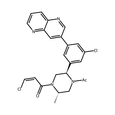 CC(=O)N1C[C@H](C)N(C(=O)/C=C\Cl)C[C@H]1c1cc(Cl)cc(-c2cnc3cccnc3c2)c1